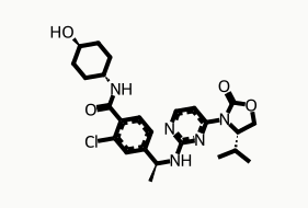 CC(C)[C@H]1COC(=O)N1c1ccnc(N[C@@H](C)c2ccc(C(=O)N[C@H]3CC[C@H](O)CC3)c(Cl)c2)n1